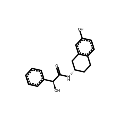 O=C(N[C@H]1CCc2ccc(O)cc2C1)[C@@H](O)c1ccccc1